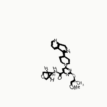 COC[C@@H](C)Oc1nc(C(=O)N[C@H]2[C@@H]3COC[C@@H]32)cc(N2CCC(C3=NCc4ncccc43)CC2)n1